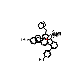 CC[CH2][Zr]([CH3])(=[SiH2])([CH]1C(CC23CCC(CC2)C3)=Cc2c(-c3ccc(C(C)(C)C)cc3)cccc21)[CH]1C(CC23CCC(CC2)C3)=Cc2c(-c3ccc(C(C)(C)C)cc3)cccc21.Cl.Cl